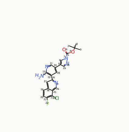 CC(C)(C)OC(=O)n1cc(-c2cnc(N)c(-c3cc4ccc(F)c(Cl)c4cn3)c2)cn1